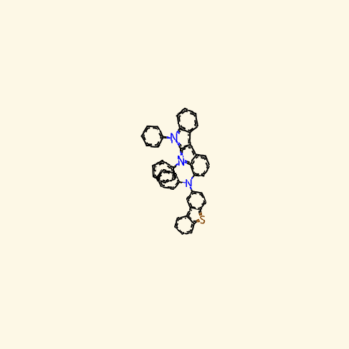 c1ccc(N(c2ccc3sc4ccccc4c3c2)c2cccc3c4c5ccccc5n(-c5ccccc5)c4n(-c4ccccc4)c23)cc1